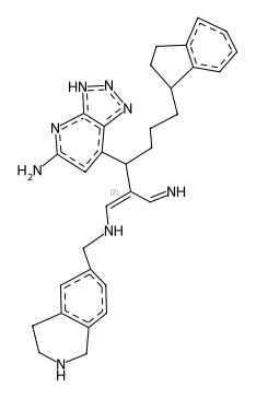 N=C/C(=C\NCc1ccc2c(c1)CCNC2)C(CCCC1CCc2ccccc21)c1cc(N)nc2[nH]nnc12